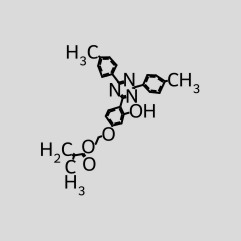 C=C(C)C(=O)OCCOc1ccc(-c2nc(-c3ccc(C)cc3)nc(-c3ccc(C)cc3)n2)c(O)c1